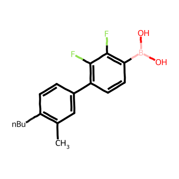 CCCCc1ccc(-c2ccc(B(O)O)c(F)c2F)cc1C